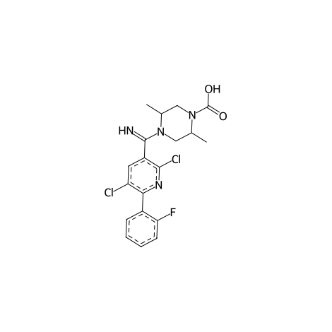 CC1CN(C(=O)O)C(C)CN1C(=N)c1cc(Cl)c(-c2ccccc2F)nc1Cl